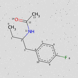 CCC(Cc1ccc(F)cc1)NC(C)=O